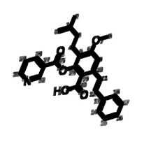 C=C(C)CCc1c(OC)cc(C=Cc2ccccc2)c(C(=O)O)c1OC(=O)c1cccnc1